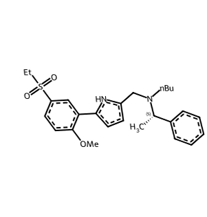 CCCCN(Cc1ccc(-c2cc(S(=O)(=O)CC)ccc2OC)[nH]1)[C@@H](C)c1ccccc1